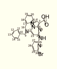 O=C(O)c1cnn2c(N(Cc3ccccc3)Cc3ccccc3)cc(Nc3cccc(Br)n3)nc12